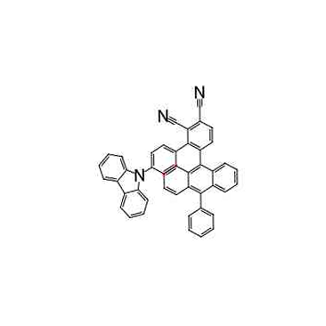 N#Cc1ccc(-c2c3ccccc3c(-c3ccccc3)c3ccccc23)c(-c2ccc(-n3c4ccccc4c4ccccc43)cc2)c1C#N